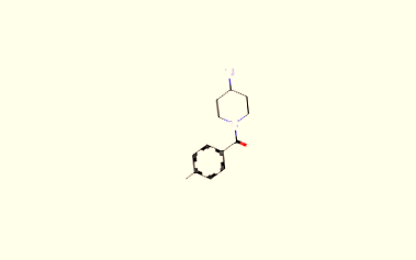 NC1CCN(C(=O)c2ccc(C(F)(F)F)cc2)CC1